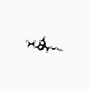 CCC(I)C(=O)OC1C2CC3C1OC(=O)C3C2C(=O)OCOC(C)(C)C